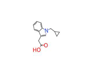 O=C(O)Cc1cn(CC2CC2)c2ccccc12